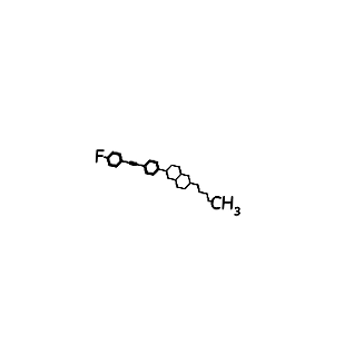 CCCCCC1CCC2CC(c3ccc(C#Cc4ccc(F)cc4)cc3)CCC2C1